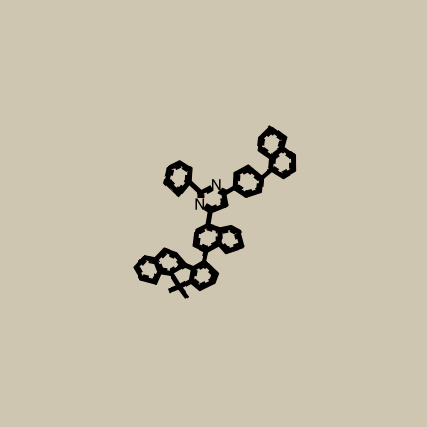 CC1(C)c2cccc(-c3ccc(-c4cc(-c5ccc(-c6cccc7ccccc67)cc5)nc(-c5ccccc5)n4)c4ccccc34)c2-c2ccc3ccccc3c21